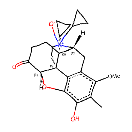 COc1c(C)c(O)c2c3c1C[C@@H]1[C@]4(C5CC5)CCC(=O)[C@H](O2)[C@]34CC[N+]1([O-])C1CC1